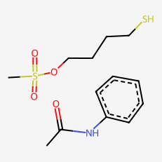 CC(=O)Nc1ccccc1.CS(=O)(=O)OCCCCS